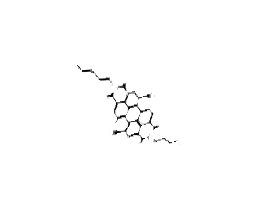 CCCC[C@H](C)N1C(=O)c2cc(Cl)c3c4c(C#N)cc5c6c(cc(Cl)c(c7c(C#N)cc(c2c37)C1=S)c64)C(=O)N([C@@H](C)CCCC)C5=S